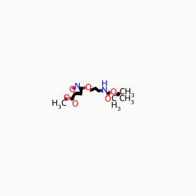 COC(=O)c1cc(OCCCNC(=O)OC(C)(C)C)no1